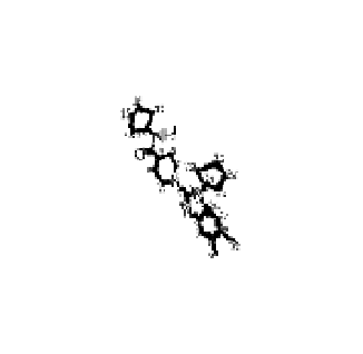 Cc1cc2nc(N3CCC(C(=O)NC4CCCC4)CC3)n(C3CCCC3)c2cc1C